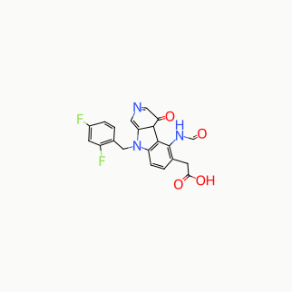 O=CNc1c(CC(=O)O)ccc2c1C1C(=O)C=NC=C1N2Cc1ccc(F)cc1F